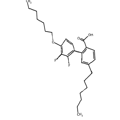 CCCCCCCOc1ccc(-c2cc(CCCCCCC)ccc2C(=O)O)c(F)c1F